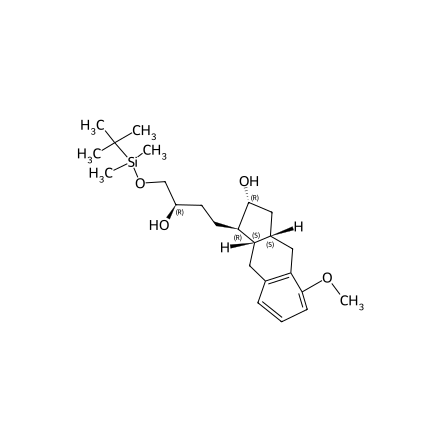 COc1cccc2c1C[C@H]1C[C@@H](O)[C@H](CC[C@@H](O)CO[Si](C)(C)C(C)(C)C)[C@H]1C2